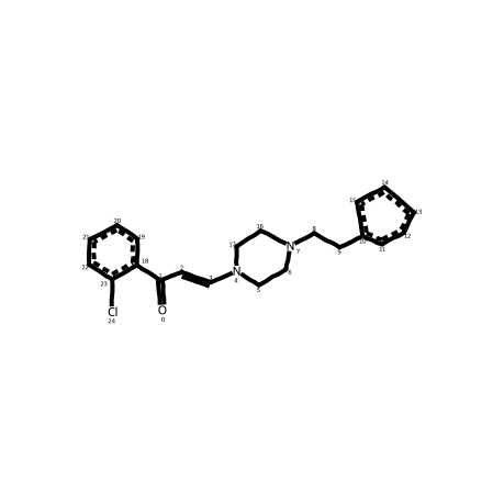 O=C(C=CN1CCN(CCc2ccccc2)CC1)c1ccccc1Cl